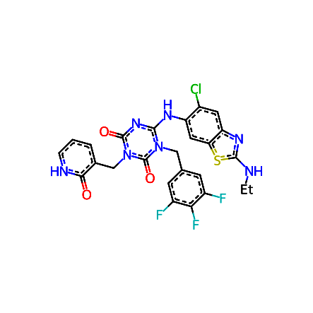 CCNc1nc2cc(Cl)c(Nc3nc(=O)n(Cc4ccc[nH]c4=O)c(=O)n3Cc3cc(F)c(F)c(F)c3)cc2s1